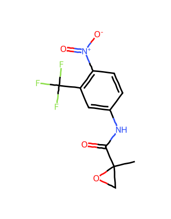 CC1(C(=O)Nc2ccc([N+](=O)[O-])c(C(F)(F)F)c2)CO1